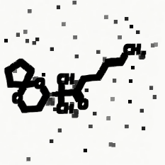 CC=CCCC(=O)C(C)(C)[C@@H]1CCOC2(CCCC2)O1